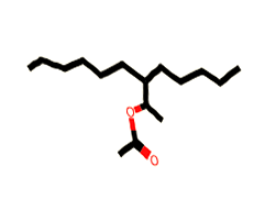 CCCCCCC(CCCCC)C(C)OC(C)=O